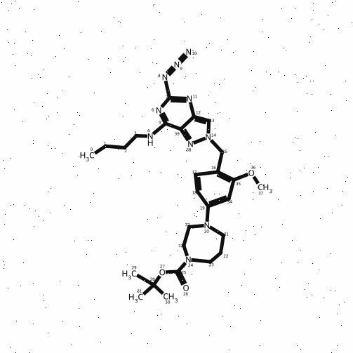 CCCCNc1nc(N=[N+]=[N-])nc2cn(Cc3ccc(N4CCCN(C(=O)OC(C)(C)C)CC4)cc3OC)nc12